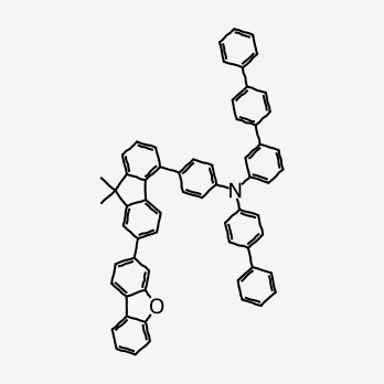 CC1(C)c2cc(-c3ccc4c(c3)oc3ccccc34)ccc2-c2c(-c3ccc(N(c4ccc(-c5ccccc5)cc4)c4cccc(-c5ccc(-c6ccccc6)cc5)c4)cc3)cccc21